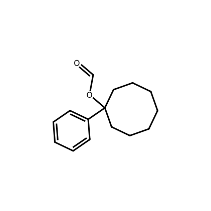 O=COC1(c2ccccc2)CCCCCCC1